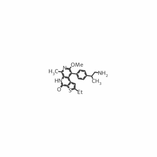 CCc1cc2c(s1)c(=O)[nH]c1c(C)nc(OC)c(-c3ccc(C(C)CN)cc3)c12